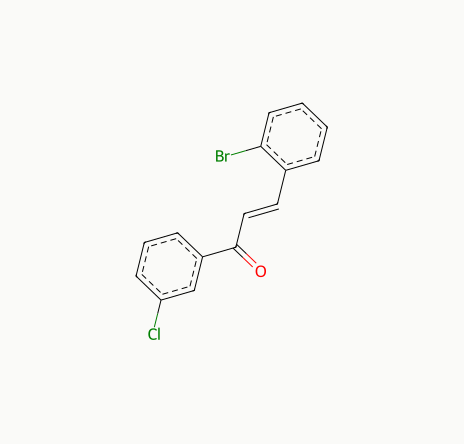 O=C(C=Cc1ccccc1Br)c1cccc(Cl)c1